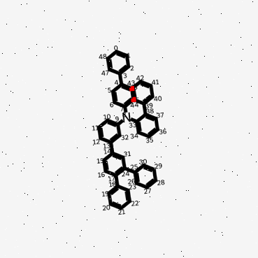 c1ccc(-c2ccc(N(c3cccc(-c4ccc(-c5ccccc5)c(-c5ccccc5)c4)c3)c3ccccc3-c3ccccc3)cc2)cc1